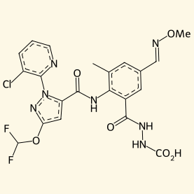 CON=Cc1cc(C)c(NC(=O)c2cc(OC(F)F)nn2-c2ncccc2Cl)c(C(=O)NNC(=O)O)c1